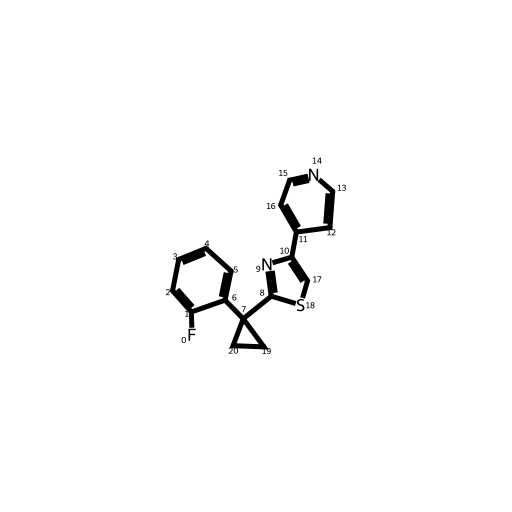 Fc1ccccc1C1(c2nc(-c3ccncc3)cs2)CC1